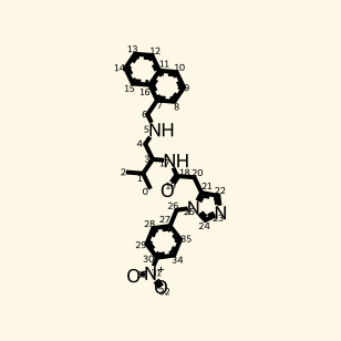 CC(C)C(CNCc1cccc2ccccc12)NC(=O)Cc1cncn1Cc1ccc([N+](=O)[O-])cc1